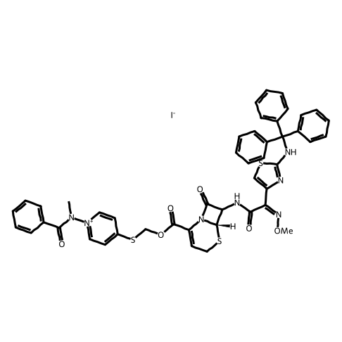 CO/N=C(\C(=O)NC1C(=O)N2C(C(=O)OCSc3cc[n+](N(C)C(=O)c4ccccc4)cc3)=CCS[C@@H]12)c1csc(NC(c2ccccc2)(c2ccccc2)c2ccccc2)n1.[I-]